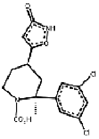 C[C@@]1(c2cc(Cl)cc(Cl)c2)C[C@H](c2cc(=O)[nH]o2)CCN1C(=O)O